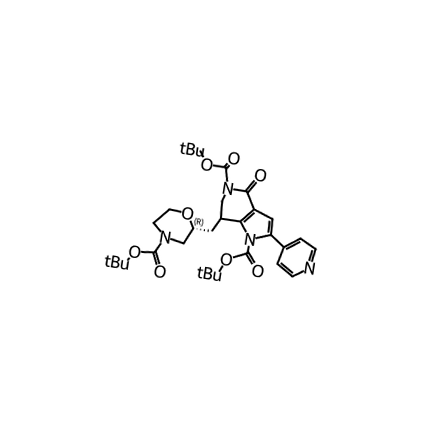 CC(C)(C)OC(=O)N1CCO[C@H](CC2CN(C(=O)OC(C)(C)C)C(=O)c3cc(-c4ccncc4)n(C(=O)OC(C)(C)C)c32)C1